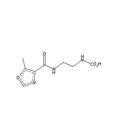 Cc1ocnc1C(=O)NCCNC(=O)O